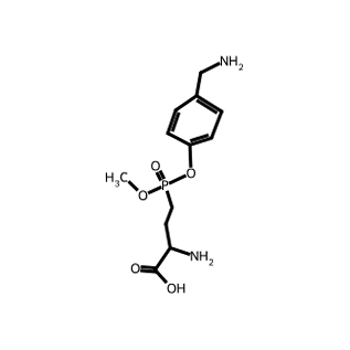 COP(=O)(CCC(N)C(=O)O)Oc1ccc(CN)cc1